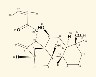 C=C1[C@H]2CC[C@]3(O)[C@@](C2)([C@@H](O)C[C@@H]2[C@]3(C)CCC[C@]2(C)C(=O)O)[C@H]1OC(=O)/C(C)=C\C